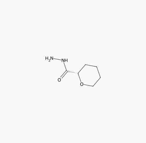 NNC(=O)[C@@H]1CCCCO1